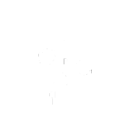 [Cl-].[Cl-].[H+].c1ccc([P+](c2ccccc2)(c2ccccc2)c2ccccc2)cc1